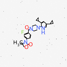 C[C@@H]1COC(=O)N1c1ccc(C(=O)N2CCN(C3NC=C(C4CC4)C=C3C3CC3)CC2)c(F)c1